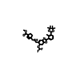 COC(=O)C12CCC(CNCc3cc4nc(-c5cccc(B6OC(C)(C)C(C)(C)O6)c5C)oc4cc3OC(F)F)(CC1)C2